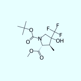 COC(=O)[C@H]1[C@H](C)C(O)(C(F)(F)F)CN1C(=O)OC(C)(C)C